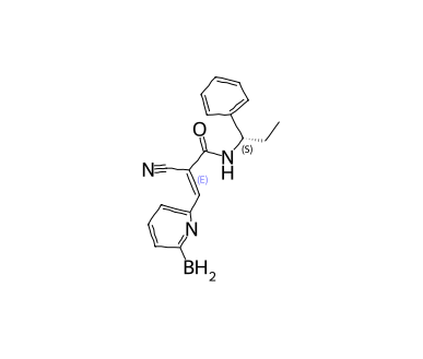 Bc1cccc(/C=C(\C#N)C(=O)N[C@@H](CC)c2ccccc2)n1